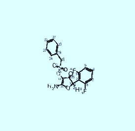 [2H][C@@]1(c2c(F)cccc2F)OC(N)=C(OS(=O)(=O)Cc2ccccc2)C1=O